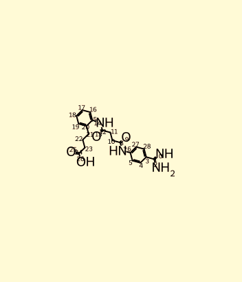 N=C(N)c1ccc(NC(=O)CCC(=O)Nc2ccccc2CCCC(=O)O)cc1